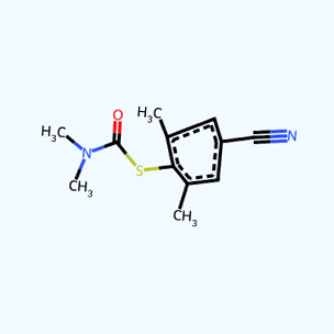 Cc1cc(C#N)cc(C)c1SC(=O)N(C)C